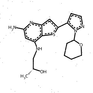 C[C@@H](O)CNc1cc(N)nc2cc(-c3ccnn3C3CCCCO3)sc12